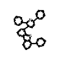 c1ccc(-c2ccc(-c3cccc4c3sc3c(-c5ccccc5)cccc34)c(-c3ccccc3)n2)cc1